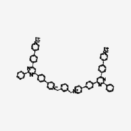 CC[n+]1ccc(-c2ccc(-c3cc(-c4ccc(-c5cc[n+](Cc6cccc(C[n+]7ccc(-c8ccc(-c9cc(-c%10ccc(-c%11cc[n+](CC)cc%11)cc%10)nc(-c%10ccccc%10)n9)cc8)cc7)c6)cc5)cc4)nc(-c4ccccc4)n3)cc2)cc1